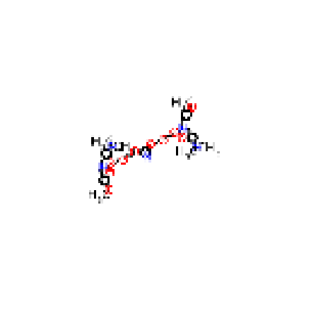 COc1ccc(CN(Cc2ccc(N(C)C)cc2)C(=O)OCCOCCOc2cncc(OCCOCCOC(=O)N(Cc3ccc(OC)cc3)Cc3ccc(N(C)C)cc3)c2)cc1